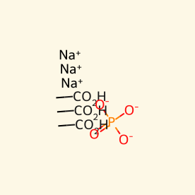 CC(=O)O.CC(=O)O.CC(=O)O.O=P([O-])([O-])[O-].[Na+].[Na+].[Na+]